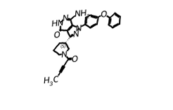 CC#CC(=O)N1CCC[C@H](c2nn(-c3ccc(Oc4ccccc4)cc3)c3c(N)n[nH]c(=O)c23)C1